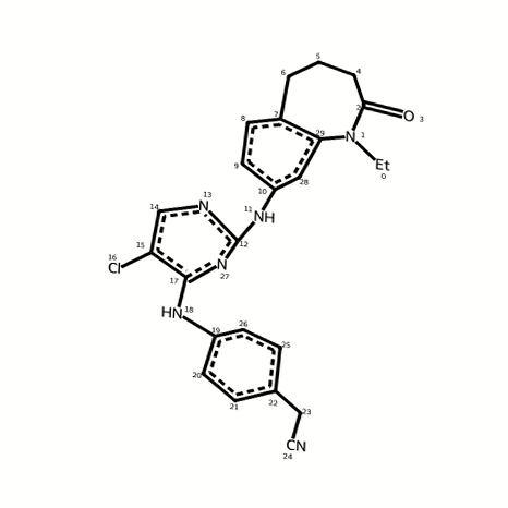 CCN1C(=O)CCCc2ccc(Nc3ncc(Cl)c(Nc4ccc(CC#N)cc4)n3)cc21